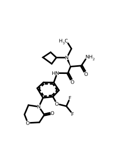 CCN(C1CCC1)[C@@H](C(N)=O)C(=O)Nc1ccc(N2CCOCC2=O)c(OC(F)F)c1